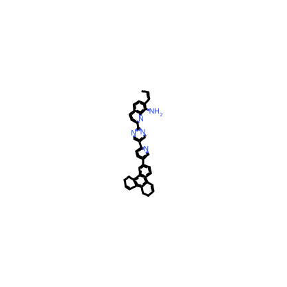 C/C=C\c1ccc2ccc(-c3ncc(-c4ccc(-c5ccc6c7c(c8c(c6c5)CCC=C8)CCC=C7)cn4)cn3)nc2c1N